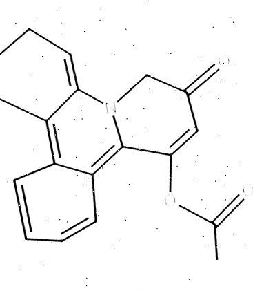 CC(=O)OC1=CC(=O)CN2C3=CCCCC3=c3ccccc3=C12